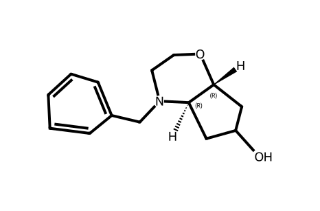 OC1C[C@@H]2[C@@H](C1)OCCN2Cc1ccccc1